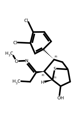 CCC(=NOC)[C@@H]1[C@@H]2SC(CC2O)C[C@H]1c1ccc(Cl)c(Cl)c1